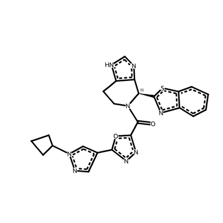 O=C(c1nnc(-c2cnn(C3CCC3)c2)o1)N1CCc2[nH]cnc2[C@H]1c1nc2ccccc2s1